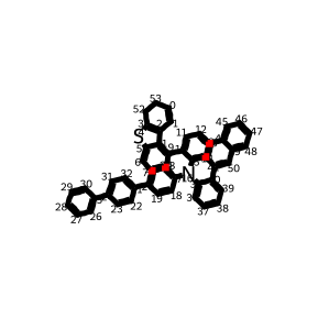 C1=Cc2c(sc3cccc(-c4ccccc4N(c4ccc(-c5ccc(-c6ccccc6)cc5)cc4)c4ccccc4-c4ccc5ccccc5c4)c23)CC1